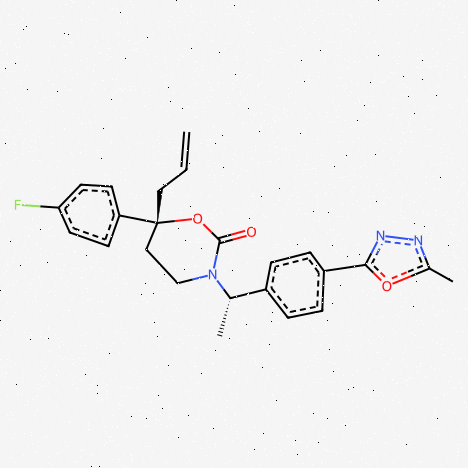 C=CC[C@]1(c2ccc(F)cc2)CCN([C@@H](C)c2ccc(-c3nnc(C)o3)cc2)C(=O)O1